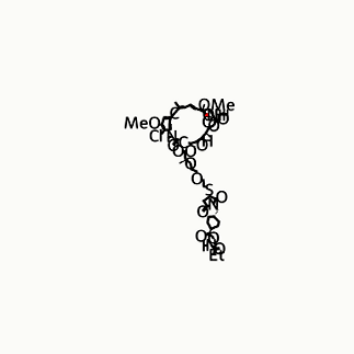 CCC(=O)N(I)OC(=O)[C@H]1CC[C@H](CN2C(=O)CC(SCCOCCO[C@@H](C)C(=O)O[C@H]3CC(=O)N(C)c4cc(cc(OC)c4Cl)C/C(C)=C/C=C/[C@@H](OC)[C@@]4(O)CC(OC(=O)N4)[C@@H](C)[C@@H]4O[C@@]34C)C2=O)CC1